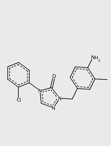 Cc1cc(Cn2ncn(-c3ccccc3Cl)c2=O)ccc1N